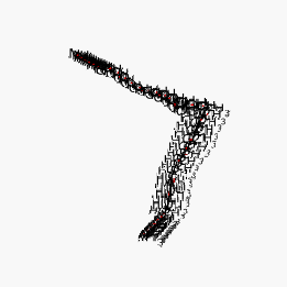 CC(=O)O.CC(=O)O.CC(=O)O.CC(=O)O.CC(=O)O.CC(=O)O.CC(=O)O.CC(=O)O.CC(=O)O.CC(=O)O.CC(=O)O.CC(=O)O.CC(=O)O.CC(=O)O.CC(=O)O.CC(=O)O.CC(=O)O.CC(=O)O.CC(=O)O.CC(=O)O.CC(=O)O.CC(=O)O.CC(=O)O.CC(=O)O.CC(=O)O.CC(=O)O.N.N.N.N.N.N.N.N.N.N.N.N.N.N.N.N.N.N.N.N.N.N.N.N.N